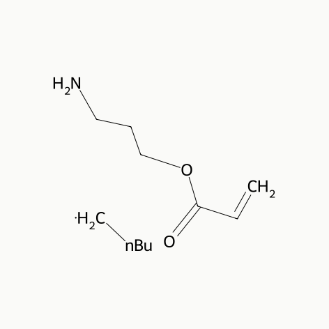 C=CC(=O)OCCCN.[CH2]CCCC